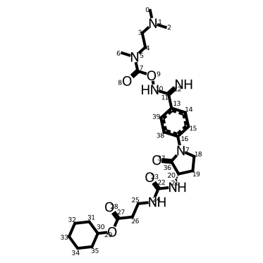 CN(C)CCN(C)C(=O)ONC(=N)c1ccc(N2CC[C@H](NC(=O)NCCC(=O)OC3CCCCC3)C2=O)cc1